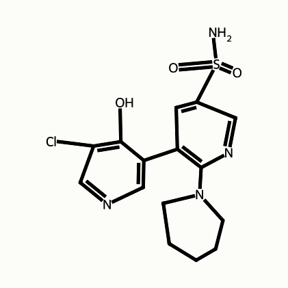 NS(=O)(=O)c1cnc(N2CCCCC2)c(-c2cncc(Cl)c2O)c1